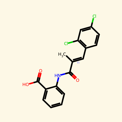 C/C(=C\c1ccc(Cl)cc1Cl)C(=O)Nc1ccccc1C(=O)O